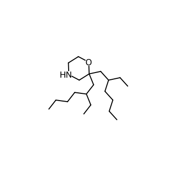 CCCCC(CC)CC1(CC(CC)CCCC)CNCCO1